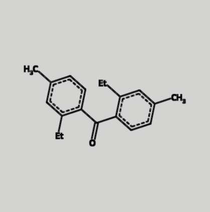 CCc1cc(C)ccc1C(=O)c1ccc(C)cc1CC